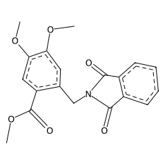 COC(=O)c1cc(OC)c(OC)cc1CN1C(=O)c2ccccc2C1=O